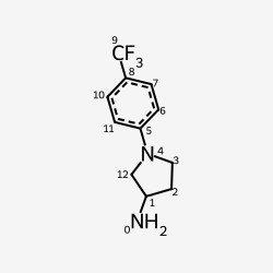 NC1CCN(c2ccc(C(F)(F)F)cc2)C1